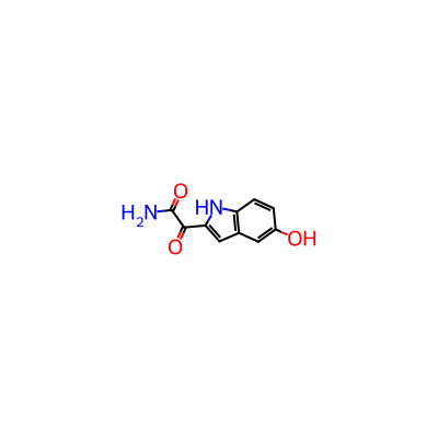 NC(=O)C(=O)c1cc2cc(O)ccc2[nH]1